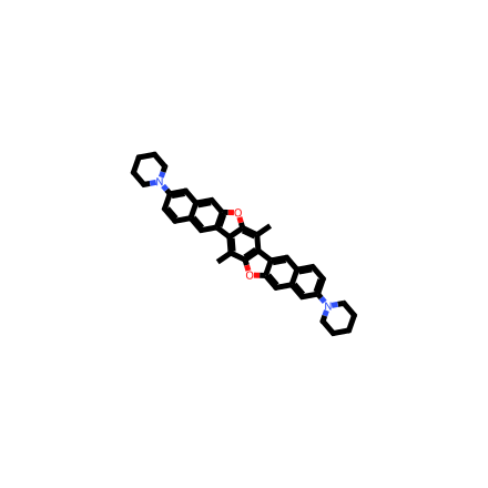 Cc1c2oc3cc4cc(N5CCCCC5)ccc4cc3c2c(C)c2oc3cc4cc(N5CCCCC5)ccc4cc3c12